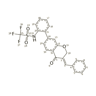 O=C1/C(=C/c2ccccc2)COc2cc(-c3ccccc3NS(=O)(=O)C(F)(F)F)ccc21